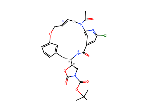 CC(=O)N1C/C=C/COc2cccc(c2)C[C@@H]([C@H]2CN(C(=O)OC(C)(C)C)C(=O)O2)NC(=O)c2cc(Cl)nc1c2